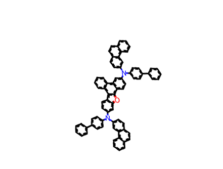 c1ccc(-c2ccc(N(c3ccc4c(c3)oc3c5ccc(N(c6ccc(-c7ccccc7)cc6)c6ccc7ccc8ccccc8c7c6)cc5c5ccccc5c43)c3ccc4ccc5ccccc5c4c3)cc2)cc1